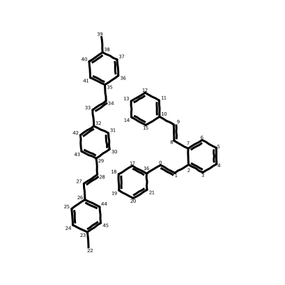 C(=Cc1ccccc1C=Cc1ccccc1)c1ccccc1.Cc1ccc(C=Cc2ccc(C=Cc3ccc(C)cc3)cc2)cc1